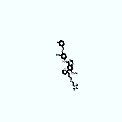 COc1cc2ncnc(Nc3ccc(OCc4cccc(F)c4)c(Br)c3)c2cc1C1(CCCOCCS(C)(=O)=O)CC=CO1